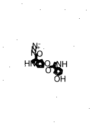 [N-]=[N+]=NC(=O)c1c[nH]c2ccc(OC(=O)c3c[nH]c4ccc(O)cc34)cc12